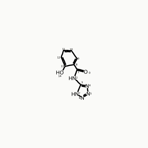 O=C(Nc1nnn[nH]1)c1ccccc1O